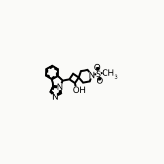 CS(=O)(=O)N1CCC2(CC1)CC(C1c3ccccc3-c3cncn31)C2O